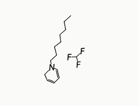 CCCCCCCCN1C=CC=CC1.FC(F)F